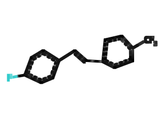 Fc1ccc(C=Cc2ccc(C(F)(F)F)cc2)cc1